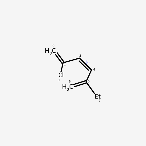 C=C(Cl)/C=C\C(=C)CC